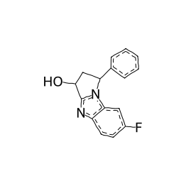 OC1CC(c2ccccc2)n2c1nc1ccc(F)cc12